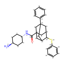 N[C@H]1CC[C@H](NC(=O)C23CC4CC(c5ccccc5)(CC(C2)C4Sc2ccccc2)C3)CC1